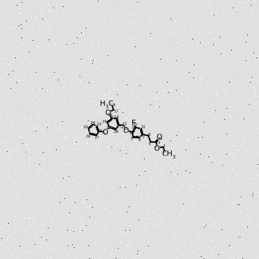 CCOC(=O)CCc1ccc(OCc2cc(OCC)cc(Oc3ccccc3)c2)c(F)c1